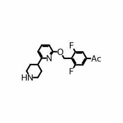 CC(=O)c1cc(F)c(COc2cccc(C3CCNCC3)n2)c(F)c1